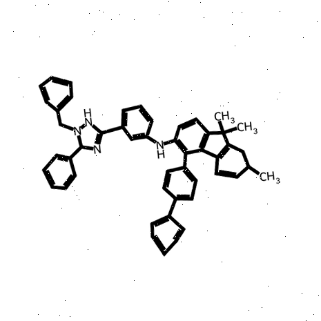 CC1C=CC2=C(C1)C(C)(C)c1ccc(Nc3cccc(C4=NC(c5ccccc5)N(Cc5ccccc5)N4)c3)c(-c3ccc(-c4ccccc4)cc3)c12